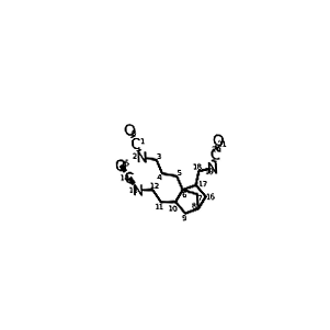 O=C=NCCCC12CC(CC1CCN=C=O)CC2CN=C=O